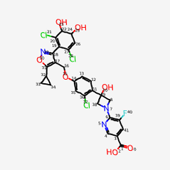 O=C(O)c1cnc(N2CC(O)(c3ccc(OCc4c(C5=C(Cl)C(O)C(O)C=C5Cl)noc4C4CC4)cc3Cl)C2)c(F)c1